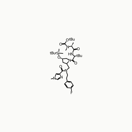 C[C@@H](C(=O)NC(C(=O)N1C[C@H](O[Si](C)(C)C(C)(C)C)CC1CN(CCc1ccc(F)cc1)C(=O)c1cn(C)cn1)C(C)(C)C)N(C)C(=O)OC(C)(C)C